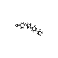 Clc1ccc(-c2csc(-c3ccc(-n4cncn4)nc3)n2)cc1